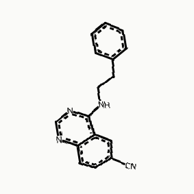 N#Cc1ccc2ncnc(NCCc3ccccc3)c2c1